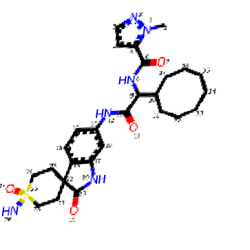 Cn1nccc1C(=O)NC(C(=O)Nc1ccc2c(c1)NC(=O)C21CCS(=N)(=O)CC1)C1CCCCCCC1